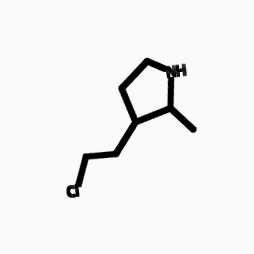 CC1NCCC1CCCl